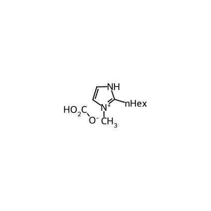 CCCCCCc1[nH]cc[n+]1C.O=C([O-])O